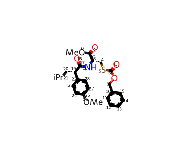 COC(=O)[C@H](CSC(=O)OCc1ccccc1)NC(=O)[C@@H](CC(C)C)c1ccc(OC)cc1